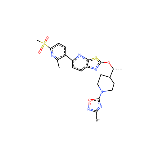 Cc1nc(S(C)(=O)=O)ccc1-c1ccc2nc(O[C@H](C)C3CCN(c4nc(C(C)C)no4)CC3)sc2n1